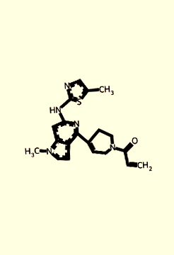 C=CC(=O)N1CC=C(c2nc(Nc3ncc(C)s3)cc3c2ccn3C)CC1